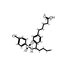 CCCCC(NS(=O)(=O)c1ccc(Cl)cc1)c1ccc(CCCCC(=O)O)cc1